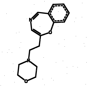 C1=NC=C(CCN2CCOCC2)Oc2ccccc21